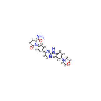 NC(=O)[C@H]1CCC(=O)N1c1ccc(-c2ccnc(Nc3ccc(N4CCOCC4)cc3)n2)cc1